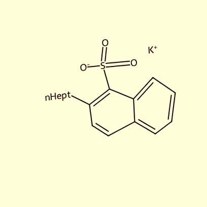 CCCCCCCc1ccc2ccccc2c1S(=O)(=O)[O-].[K+]